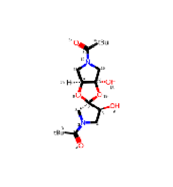 CC(C)(C)C(=O)N1C[C@H](O)[C@@]2(C1)O[C@H]1CN(C(=O)C(C)(C)C)C[C@@]1(O)O2